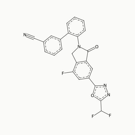 N#Cc1cccc(-c2ccccc2N2Cc3c(F)cc(-c4nnc(C(F)F)o4)cc3C2=O)c1